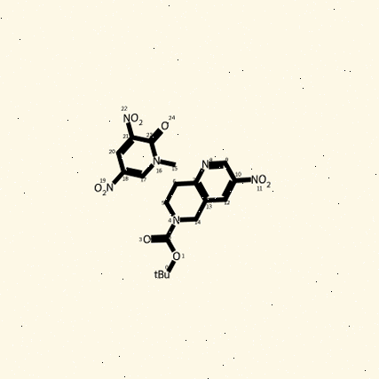 CC(C)(C)OC(=O)N1CCc2ncc([N+](=O)[O-])cc2C1.Cn1cc([N+](=O)[O-])cc([N+](=O)[O-])c1=O